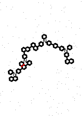 C1=CC2=CC=CC(c3ccc(N(c4ccccc4)c4ccc(-c5ccc(-c6ccc(N(c7ccccc7)c7ccc(-c8cccc9c(-c%10ccc%11c(-c%12ccc(N(c%13ccccc%13)c%13ccccc%13-c%13ccc(-c%14ccc(N(c%15ccccc%15)c%15cccc%16ccccc%15%16)cc%14)cc%13)cc%12)cccc%11c%10)cccc89)cc7)cc6)cc5)cc4)cc3)C2C=C1